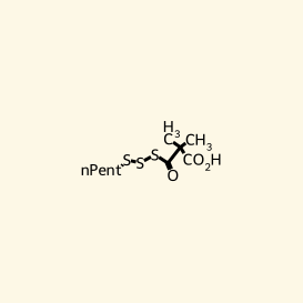 CCCCCSSSC(=O)C(C)(C)C(=O)O